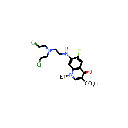 CCn1cc(C(=O)O)c(=O)c2cc(F)c(NCCN(CCCl)CCCl)cc21